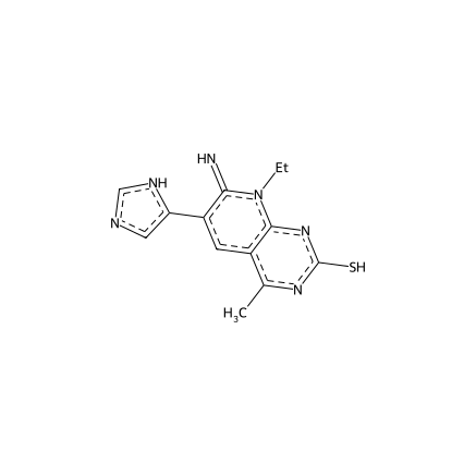 CCn1c(=N)c(-c2cnc[nH]2)cc2c(C)nc(S)nc21